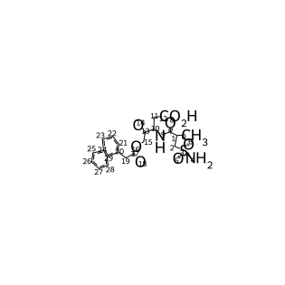 CC(CS(N)(=O)=O)C(=O)NC(CC(=O)O)C(=O)COC(=O)Cc1cccc2ccccc12